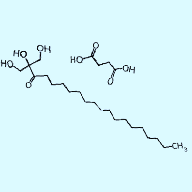 CCCCCCCCCCCCCCCCCC(=O)C(O)(CO)CO.O=C(O)CCC(=O)O